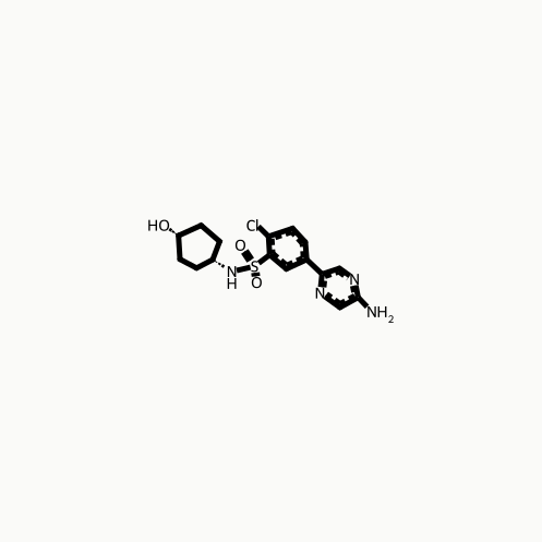 Nc1cnc(-c2ccc(Cl)c(S(=O)(=O)N[C@H]3CC[C@@H](O)CC3)c2)cn1